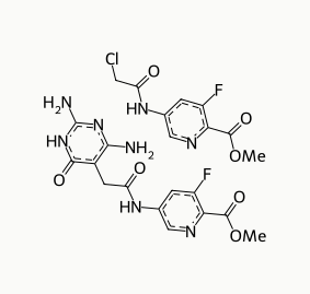 COC(=O)c1ncc(NC(=O)CCl)cc1F.COC(=O)c1ncc(NC(=O)Cc2c(N)nc(N)[nH]c2=O)cc1F